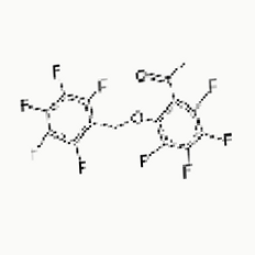 CC(=O)c1c(F)c(F)c(F)c(F)c1OCc1c(F)c(F)c(F)c(F)c1F